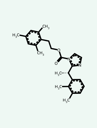 Cc1cc(C)c(CCOC(=O)n2ccnc2[C@@H](C)c2cccc(C)c2C)c(C)c1